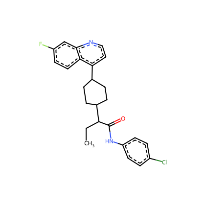 CCC(C(=O)Nc1ccc(Cl)cc1)C1CCC(c2ccnc3cc(F)ccc23)CC1